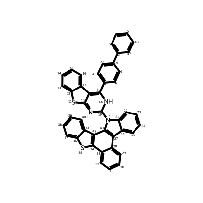 c1ccc(-c2ccc(C3=c4c(sc5ccccc45)=NC(n4c5ccccc5c5c6ccccc6c6sc7ccccc7c6c54)N3)cc2)cc1